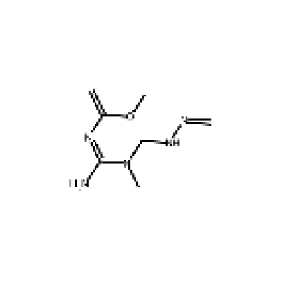 C=NNCN(C)/C(N)=N\C(=C)OC